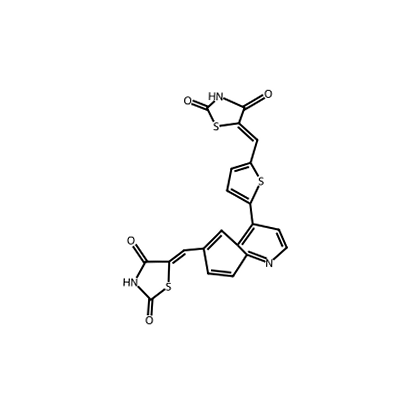 O=C1NC(=O)/C(=C/c2ccc3nccc(-c4ccc(/C=C5\SC(=O)NC5=O)s4)c3c2)S1